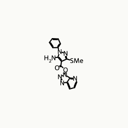 CSc1nn(-c2ccccc2)c(N)c1C(=O)On1nnc2cccnc21